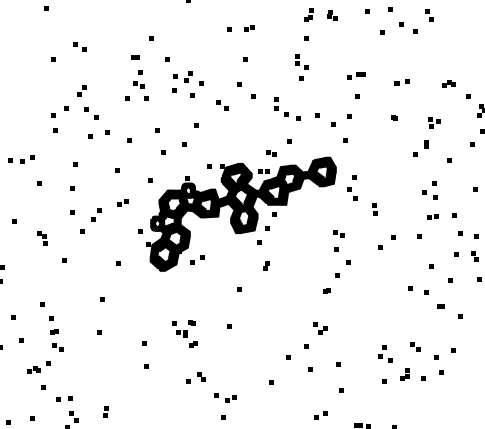 c1ccc(-c2ccc3cc(-c4c5ccccc5c(-c5ccc6c(c5)oc5ccc7oc8c9ccccc9ccc8c7c56)c5ccccc45)ccc3c2)cc1